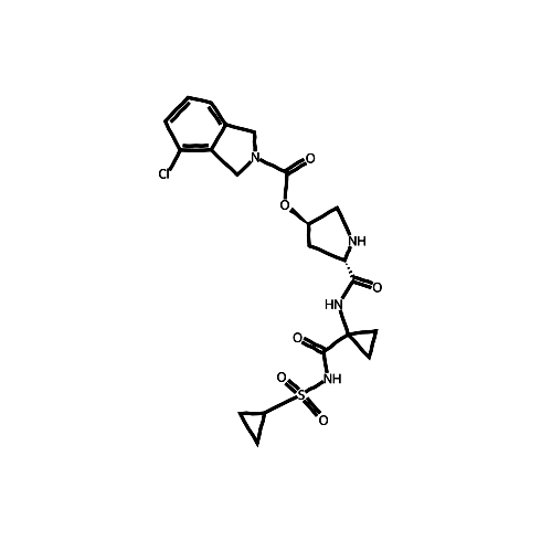 O=C(NC1(C(=O)NS(=O)(=O)C2CC2)CC1)[C@@H]1C[C@@H](OC(=O)N2Cc3cccc(Cl)c3C2)CN1